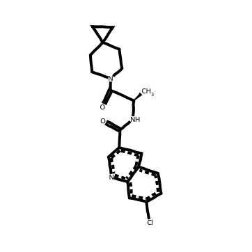 C[C@@H](NC(=O)c1cnc2cc(Cl)ccc2c1)C(=O)N1CCC2(CC1)CC2